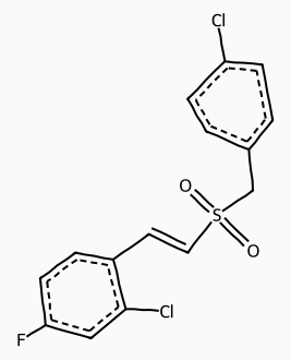 O=S(=O)(C=Cc1ccc(F)cc1Cl)Cc1ccc(Cl)cc1